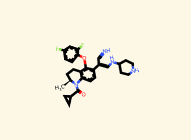 C[C@H]1CCc2c(ccc(/C(C=N)=C/NC3CCNCC3)c2Oc2ccc(F)cc2F)N1C(=O)C1CC1